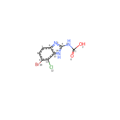 O=C(O)Nc1nc2ccc(Br)c(Cl)c2[nH]1